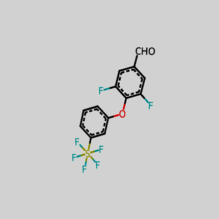 O=Cc1cc(F)c(Oc2cccc(S(F)(F)(F)(F)F)c2)c(F)c1